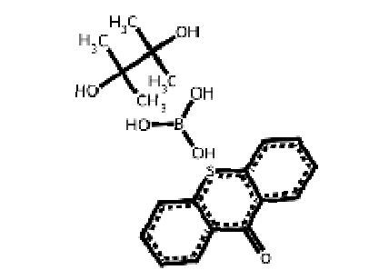 CC(C)(O)C(C)(C)O.O=c1c2ccccc2sc2ccccc12.OB(O)O